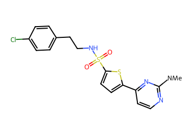 CNc1nccc(-c2ccc(S(=O)(=O)NCCc3ccc(Cl)cc3)s2)n1